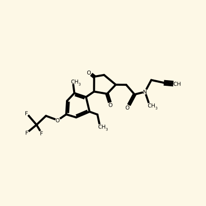 C#CCN(C)C(=O)CC1CC(=O)C(c2c(C)cc(OCC(F)(F)F)cc2CC)C1=O